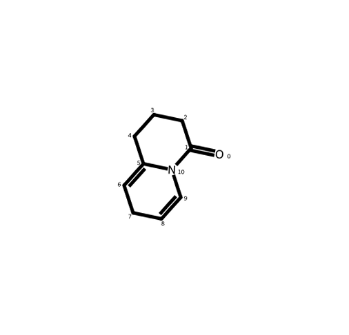 O=C1CCCC2=CCC=CN12